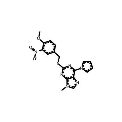 COc1ccc(CSc2nc(-n3cccc3)c3ncn(C)c3n2)cc1[N+](=O)[O-]